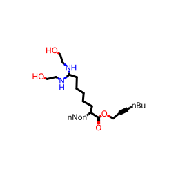 CCCCC#CCOC(=O)C(CCCCCCCCC)CCCCCC(NCCO)NCCO